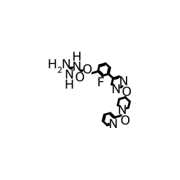 N=C(N)NC(=O)OCc1cccc(-c2cnc(OC3CCN(C(=O)c4ccccn4)CC3)nc2)c1F